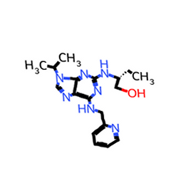 CC[C@H](CO)Nc1nc(NCc2ccccn2)c2ncn(C(C)C)c2n1